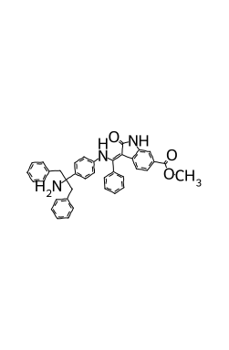 COC(=O)c1ccc2c(c1)NC(=O)/C2=C(\Nc1ccc(C(N)(Cc2ccccc2)Cc2ccccc2)cc1)c1ccccc1